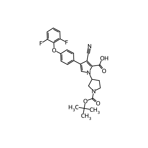 CC(C)(C)OC(=O)N1CCC(n2cc(-c3ccc(Oc4c(F)cccc4F)cc3)c(C#N)c2C(=O)O)C1